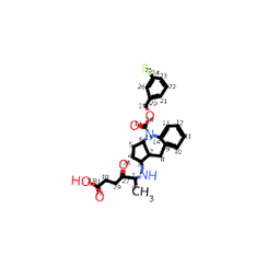 CC(NC1CCC2C1Cc1ccccc1N2C(=O)OCc1cccc(F)c1)C(=O)CCC(=O)O